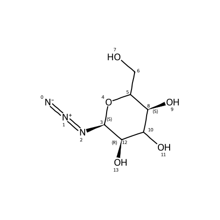 [N-]=[N+]=N[C@H]1OC(CO)[C@@H](O)C(O)[C@H]1O